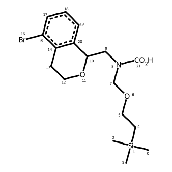 C[Si](C)(C)CCOCN(CC1OCCc2c(Br)cccc21)C(=O)O